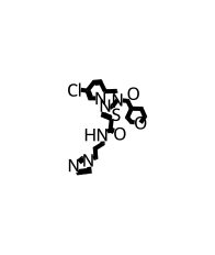 O=C(NCCCn1ccnc1)c1cnc(N(Cc2ccc(Cl)cn2)C(=O)C2CCOCC2)s1